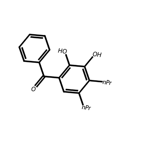 CCCc1cc(C(=O)c2ccccc2)c(O)c(O)c1CCC